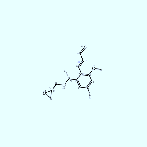 COc1cc(F)cc([C@@H](C)OC[C@H]2CO2)c1/C=C/C=O